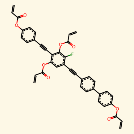 C=CC(=O)Oc1ccc(C#Cc2c(OC(=O)C=C)cc(C#Cc3ccc(-c4ccc(OC(=O)C=C)cc4)cc3)c(F)c2OC(=O)C=C)cc1